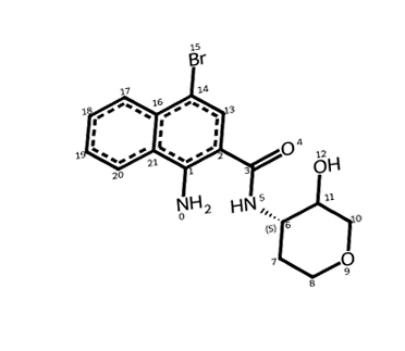 Nc1c(C(=O)N[C@H]2CCOCC2O)cc(Br)c2ccccc12